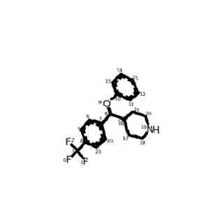 FC(F)(F)c1ccc(C(Oc2ccccc2)C2CCNCC2)cc1